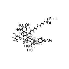 CCCCC[C@H](O)CCCCCCCCCC(=O)O[C@H]1[C@H](O[C@@H](CNc2ccc(OC)cc2)[C@@H](O)[C@H](O)[C@H](O)CO)O[C@@H](C)[C@H](OC(=O)[C@H](C)[C@@H](C)O)[C@H]1O[C@@H]1O[C@@H](C)[C@H](O)[C@@H](O)[C@H]1O